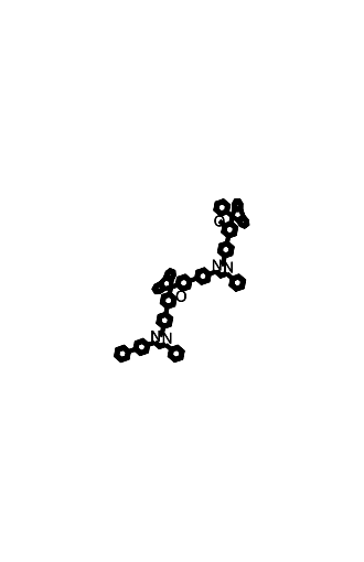 c1ccc(-c2ccc(-c3cc(-c4ccccc4)nc(-c4ccc(-c5ccc6c(c5)Oc5cc(-c7ccc(-c8cc(-c9ccccc9)nc(-c9ccc(-c%10ccc%11c(c%10)Oc%10ccccc%10C%11%10c%11ccccc%11-c%11ccccc%11%10)cc9)n8)cc7)ccc5C65c6ccccc6-c6ccccc65)cc4)n3)cc2)cc1